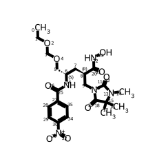 CCOCOC[C@H](C[C@H](CN1C(=O)N(C)C(C)(C)C1=O)C(=O)NO)NC(=O)c1ccc([N+](=O)[O-])cc1